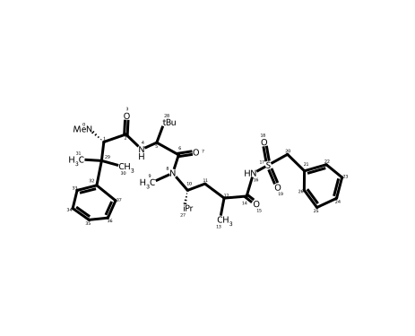 CN[C@H](C(=O)NC(C(=O)N(C)[C@H](CC(C)C(=O)NS(=O)(=O)Cc1ccccc1)C(C)C)C(C)(C)C)C(C)(C)c1ccccc1